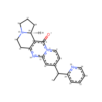 CC(c1ccn2c(=O)c3c(nc2c1)CCN1CCC[C@@H]31)c1ccccn1